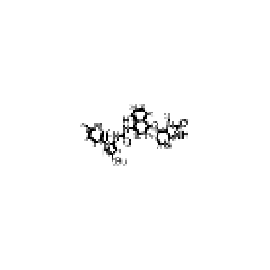 Cc1ccc(-n2nc(C(C)(C)C)cc2NC(=O)Nc2ccc(Oc3ccnc4[nH]c(=O)n(C)c34)c3ccccc23)cn1